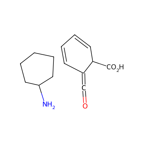 NC1CCCCC1.O=C=C1C=CC=CC1C(=O)O